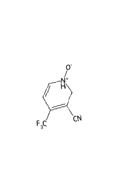 N#CC1=C(C(F)(F)F)C=C[NH+]([O-])C1